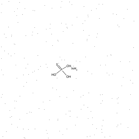 OP(O)(O)=S.[InH3]